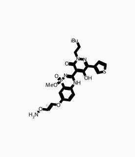 CCC(C)CCn1nc(-c2ccsc2)c(O)c(C2=NP(=O)(OC)c3cc(O/C=C/ON)ccc3N2)c1=O